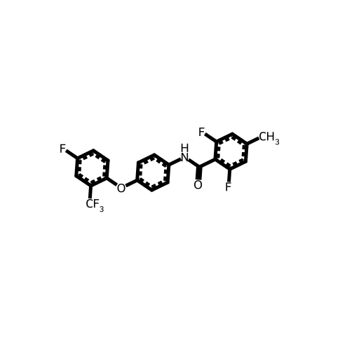 Cc1cc(F)c(C(=O)Nc2ccc(Oc3ccc(F)cc3C(F)(F)F)cc2)c(F)c1